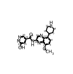 COc1ccc(C2CCBCC2)c2ncc(NC(=O)c3cnnc(O)c3)nc12